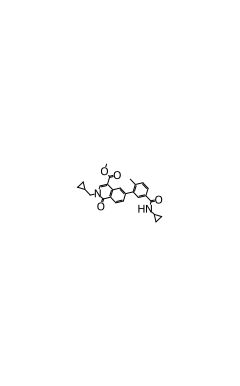 COC(=O)c1cn(CC2CC2)c(=O)c2ccc(-c3cc(C(=O)NC4CC4)ccc3C)cc12